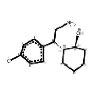 NCC(c1ccc(Cl)cc1)[C@H]1CCCC[C@@H]1O